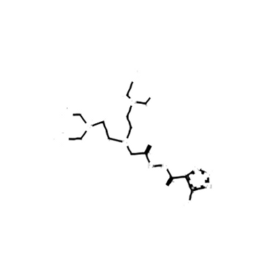 CC(=O)c1[nH]nnc1C(=O)NNC(=O)CN(CCN(CC=O)CC(=O)O)CCN(CC(=O)O)CC(=O)O